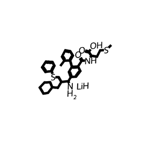 CSCCC(NC(=O)c1ccc(C(N)C(CSc2ccccc2)CC2CCCCC2)cc1-c1ccccc1C)C(=O)O.[LiH]